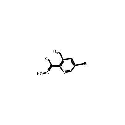 Cc1cc(Br)cnc1C(Cl)=NO